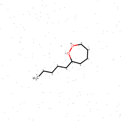 [CH2]CCCCC1CCCCOO1